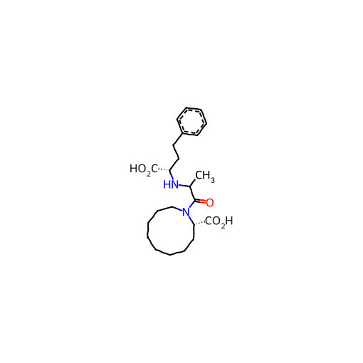 CC(N[C@@H](CCc1ccccc1)C(=O)O)C(=O)N1CCCCCCCC[C@H]1C(=O)O